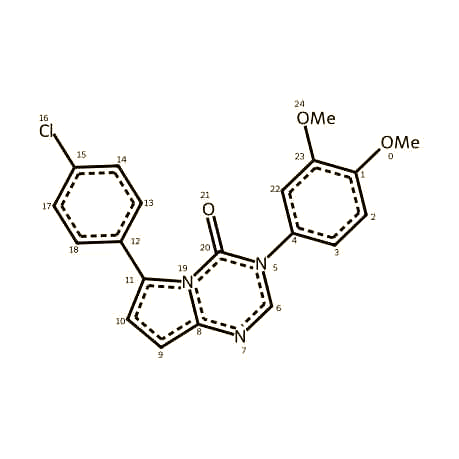 COc1ccc(-n2cnc3ccc(-c4ccc(Cl)cc4)n3c2=O)cc1OC